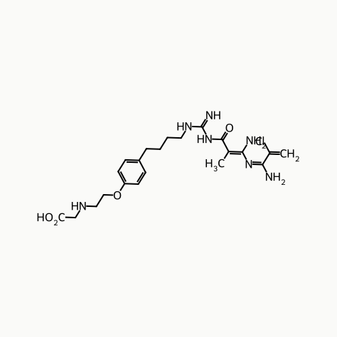 C=C(Cl)/C(N)=N\C(N)=C(/C)C(=O)NC(=N)NCCCCc1ccc(OCCNCC(=O)O)cc1